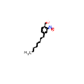 CCCCCCCCc1ccc(C=O)c(N=O)c1